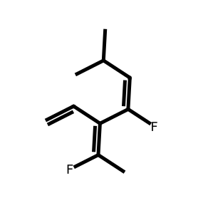 C=CC(/C(F)=C\C(C)C)=C(/C)F